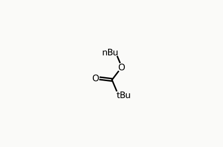 CC[CH]COC(=O)C(C)(C)C